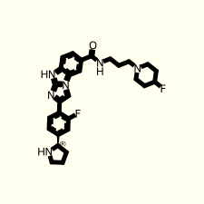 O=C(NCCCN1CCC(F)CC1)c1ccc2[nH]c3nc(-c4ccc([C@H]5CCCN5)cc4F)cn3c2c1